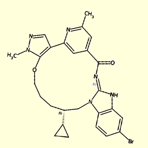 Cc1cc2cc(n1)-c1cnn(C)c1OCCC[C@@H](C1CC1)CN1/C(=N/C2=O)Nc2cc(Br)ccc21